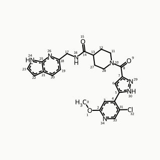 COc1cc(-c2cc(C(=O)N3CCC(C(=O)NCc4ccc5cc[nH]c5n4)CC3)n[nH]2)c(Cl)cn1